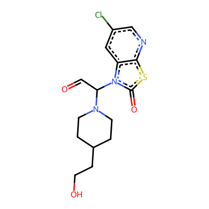 O=CC(N1CCC(CCO)CC1)n1c(=O)sc2ncc(Cl)cc21